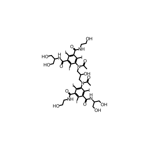 CC(=O)N(CC(O)CN(C(C)=O)c1c(I)c(C(=O)NCCO)c(I)c(C(=O)NC(CO)CO)c1I)c1c(I)c(C(=O)NCCO)c(I)c(C(=O)NC(CO)CO)c1I